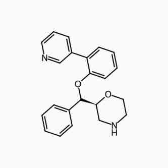 c1ccc(C(Oc2ccccc2-c2cccnc2)[C@@H]2CNCCO2)cc1